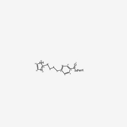 CCCCCC(=O)c1ccc(CCCCc2ncc[nH]2)cc1